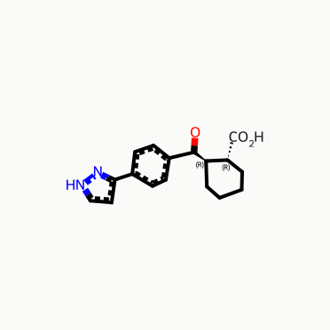 O=C(O)[C@@H]1CCCC[C@H]1C(=O)c1ccc(-c2cc[nH]n2)cc1